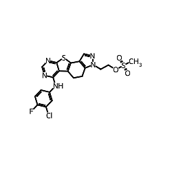 CS(=O)(=O)OCCn1ncc2c1CCc1c-2sc2ncnc(Nc3ccc(F)c(Cl)c3)c12